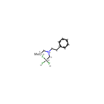 COCN(CCc1ccccc1)C[Si](F)(F)F